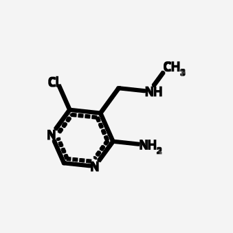 CNCc1c(N)ncnc1Cl